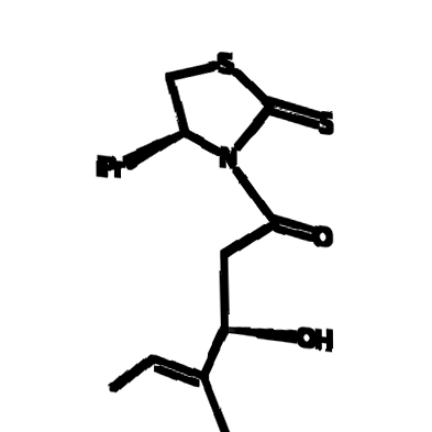 CC=C(C)[C@H](O)CC(=O)N1C(=S)SC[C@@H]1C(C)C